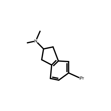 CC(C)c1ccc2c(c1)CC(N(C)C)C2